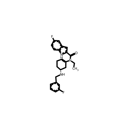 CCN(C(=O)c1cc2cc(F)ccc2[nH]1)C1=CCC[C@@H](NCc2cccc(F)c2)C1